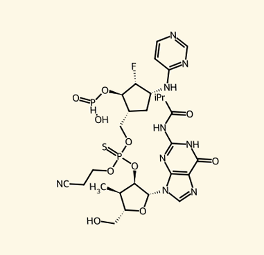 CC(C)C(=O)Nc1nc2c(ncn2[C@@H]2O[C@H](CO)[C@@H](C)[C@H]2OP(=S)(OCCC#N)OC[C@H]2C[C@@H](Nc3ccncn3)[C@@H](F)[C@@H]2O[PH](=O)O)c(=O)[nH]1